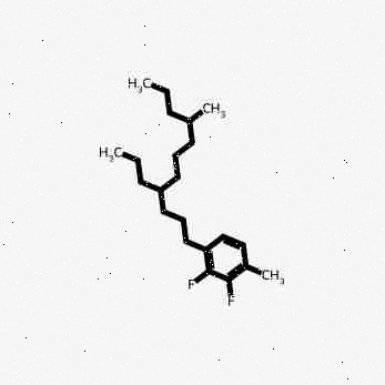 CCCC(C)CCCC(CCC)CCCc1ccc(C)c(F)c1F